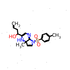 C=CCC(O)C1=CN=C2N(S(=O)(=O)c3ccc(C)cc3)C=CC2(C)N1